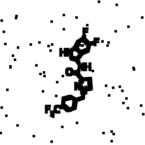 O=C(Nc1c[nH]c2cc(F)c(F)cc12)c1ccn(Cc2ccc(C(F)(F)F)cc2)n1